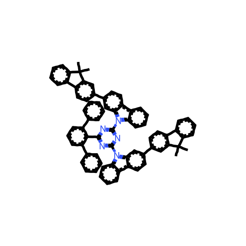 CC1(C)c2ccccc2-c2ccc(-c3ccc4c5ccccc5n(-c5nc(-c6c(-c7ccccc7)cccc6-c6ccccc6)nc(-n6c7ccccc7c7ccc(-c8ccc9c(c8)C(C)(C)c8ccccc8-9)cc76)n5)c4c3)cc21